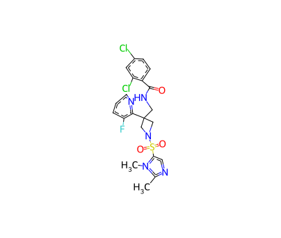 Cc1ncc(S(=O)(=O)N2CC(CNC(=O)c3ccc(Cl)cc3Cl)(c3ncccc3F)C2)n1C